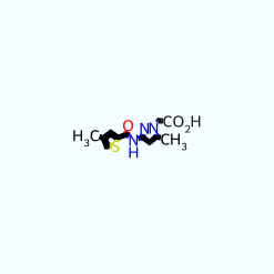 Cc1csc(C(=O)NC2=NN(CC(=O)O)C(C)C2)c1